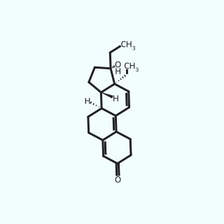 CC[C@]1(O)CC[C@H]2[C@@H]3CCC4=CC(=O)CCC4=C3C=C[C@@]21CC